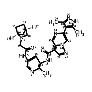 Cc1ncc(NC(=O)CN2C[C@@H]3CC[C@H]2C3)cc1NC(=O)c1cnn2cc(-c3c(C)n[nH]c3C)ncc12